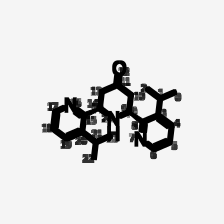 CC(C)c1cccnc1[C@@H]1CC(=O)C[C@H](c2ncccc2C(C)C)N1